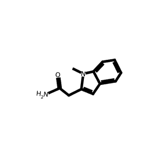 Cn1c(CC(N)=O)cc2ccccc21